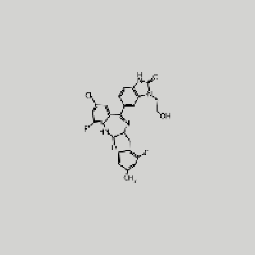 Cc1ccc(CC2N=C(c3ccc4[nH]c(=O)n(CCO)c4c3)c3cc(Cl)cc(F)c3NC2=O)c(Cl)c1